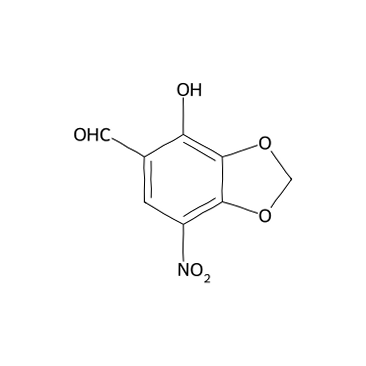 O=Cc1cc([N+](=O)[O-])c2c(c1O)OCO2